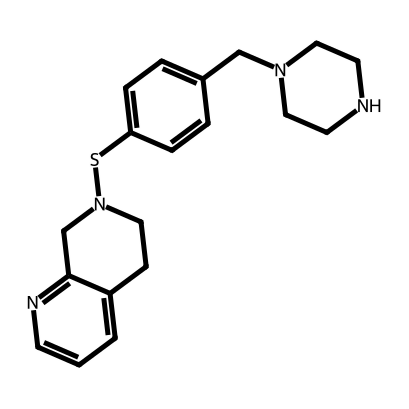 c1cnc2c(c1)CCN(Sc1ccc(CN3CCNCC3)cc1)C2